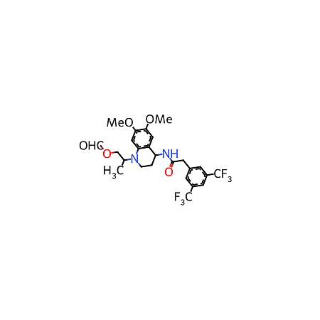 COc1cc2c(cc1OC)N(C(C)COC=O)CCC2NC(=O)Cc1cc(C(F)(F)F)cc(C(F)(F)F)c1